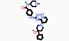 COC1(c2ccccc2)CCN(c2ccc[nH]/c2=N\C(=N)Nc2ccc(C(=O)N(C)C3CCN(C)CC3)cc2)CC1